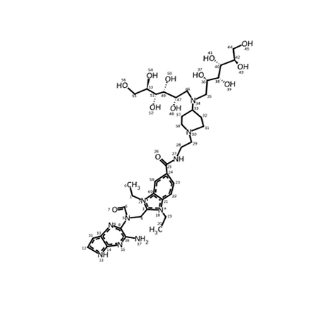 CCn1c(CN(C=O)c2nc3cc[nH]c3nc2N)[n+](CC)c2ccc(C(=O)NCCN3CCC(N(C[C@H](O)[C@@H](O)[C@H](O)[C@H](O)CO)C[C@H](O)[C@@H](O)[C@H](O)[C@H](O)CO)CC3)cc21